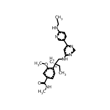 CCNc1ccc(-c2cc(NC[C@@](C)(CC)c3ccc(C(=O)NC)cc3OC)ncn2)cn1